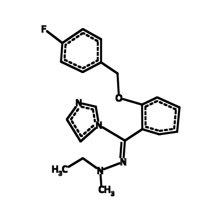 CCN(C)N=C(c1ccccc1OCc1ccc(F)cc1)n1ccnc1